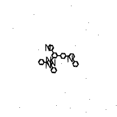 c1ccc(-c2cccc(-c3ccc(-c4cc(-c5cccnc5)cc(-c5nc(-c6ccccc6)nc(-c6ccccc6)n5)c4)cc3)n2)cc1